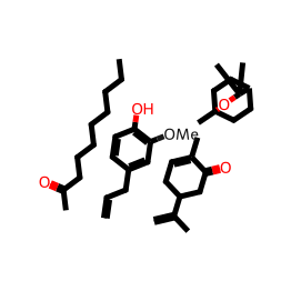 C=C(C)C1CC=C(C)C(=O)C1.C=CCc1ccc(O)c(OC)c1.CC12CCC(CC1)C(C)(C)O2.CCCCCCCCC(C)=O